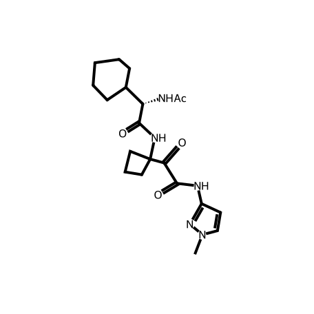 CC(=O)N[C@H](C(=O)NC1(C(=O)C(=O)Nc2ccn(C)n2)CCC1)C1CCCCC1